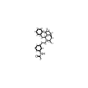 CC(=O)Nc1cccc(CCN2C(C)C3CC[C@@]4(C)c5ccccc5CC2C4C3)c1